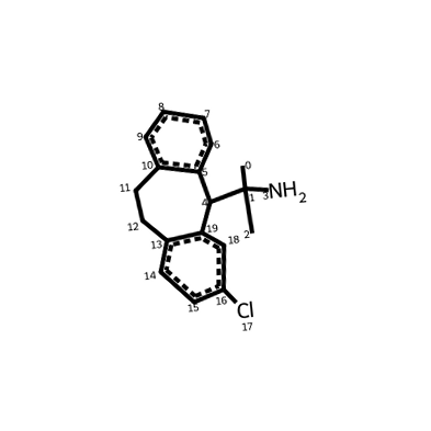 CC(C)(N)C1c2ccccc2CCc2ccc(Cl)cc21